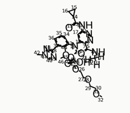 [2H]C([2H])([2H])NC(=O)c1nnc(NC(=O)C2CC2)cc1N(COP(=O)(O)OCCOCCOC)c1cccc(-c2ncn(C)n2)c1OC